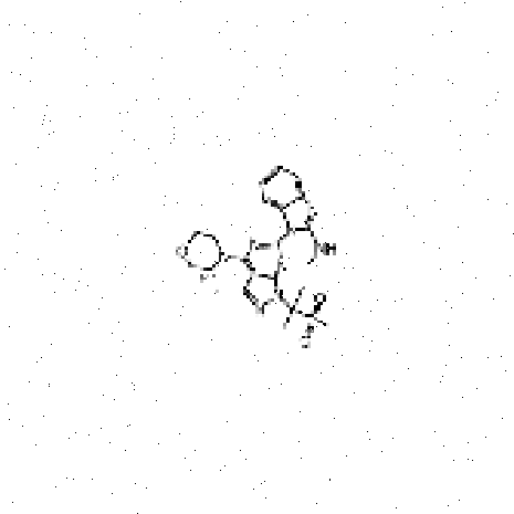 CNc1nc2ccccc2n1-c1nc(N2CCOC[C@H]2C)c2cnn(C(C)(C)S(C)(=O)=O)c2n1